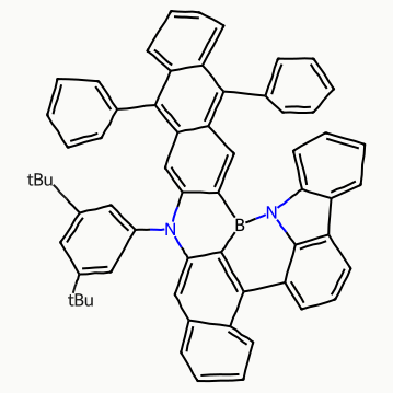 CC(C)(C)c1cc(N2c3cc4c(-c5ccccc5)c5ccccc5c(-c5ccccc5)c4cc3B3c4c2cc2ccccc2c4-c2cccc4c5ccccc5n3c24)cc(C(C)(C)C)c1